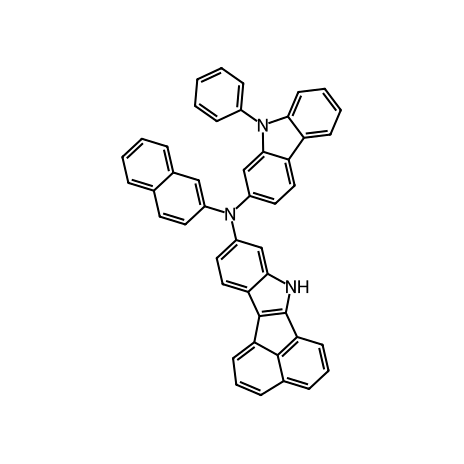 c1ccc(-n2c3ccccc3c3ccc(N(c4ccc5ccccc5c4)c4ccc5c6c([nH]c5c4)-c4cccc5cccc-6c45)cc32)cc1